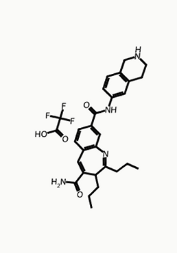 CCCC1=Nc2cc(C(=O)Nc3ccc4c(c3)CCNC4)ccc2C=C(C(N)=O)C1CCC.O=C(O)C(F)(F)F